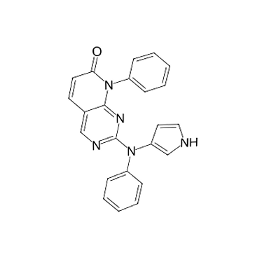 O=c1ccc2cnc(N(c3ccccc3)c3cc[nH]c3)nc2n1-c1ccccc1